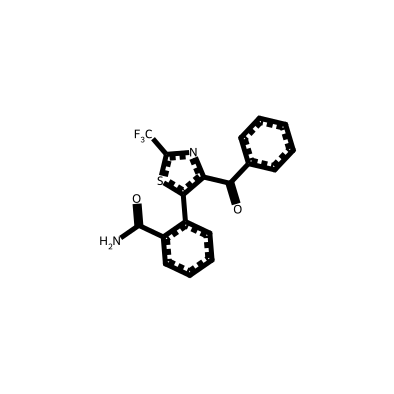 NC(=O)c1ccccc1-c1sc(C(F)(F)F)nc1C(=O)c1ccccc1